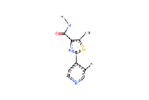 CCc1cnccc1-c1nc(C(=O)NC(C)C)c(C#N)s1